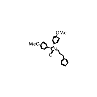 COc1ccc([C@@H]2C(=O)N(CCCc3ccccc3)[C@H]2c2ccc(OC)cc2)cc1